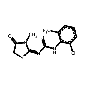 CN1C(=O)CSC1=NC(=O)Nc1c(Cl)cccc1C(F)(F)F